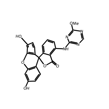 COc1n[c]nc(Nc2cccc3c2C(=O)OC32c3ccc(O)cc3Oc3cc(O)ccc32)n1